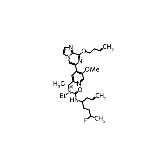 C=CCCOc1nc(-c2cc([C@@H](C)N(CC)C(=O)NC(CC=C)CCC(C)F)ncc2OC)cn2ccnc12